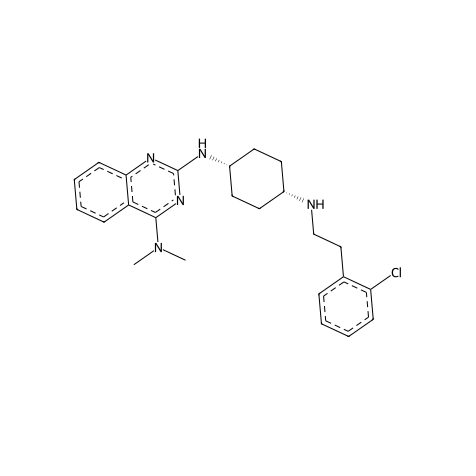 CN(C)c1nc(N[C@H]2CC[C@@H](NCCc3ccccc3Cl)CC2)nc2ccccc12